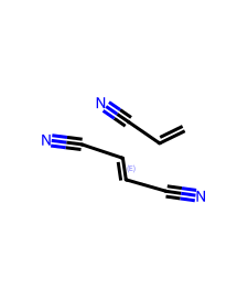 C=CC#N.N#C/C=C/C#N